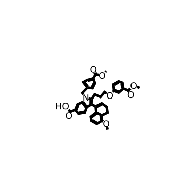 COC(=O)c1ccc(Cn2c(CCCOc3cccc(C(=O)OC)c3)c(C3=CCCc4c(OC)cccc43)c3ccc(C(=O)O)cc32)cc1